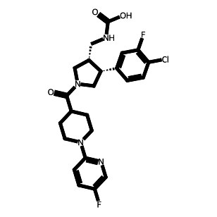 O=C(O)NC[C@H]1CN(C(=O)C2CCN(c3ccc(F)cn3)CC2)C[C@H]1c1ccc(Cl)c(F)c1